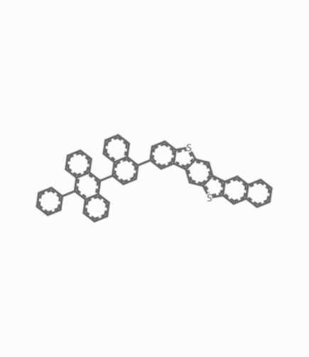 c1ccc(-c2c3ccccc3c(-c3ccc(-c4ccc5sc6cc7c(cc6c5c4)sc4cc5ccccc5cc47)c4ccccc34)c3ccccc23)cc1